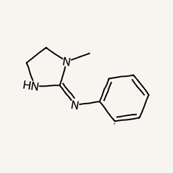 CN1CCNC1=Nc1[c]cccc1